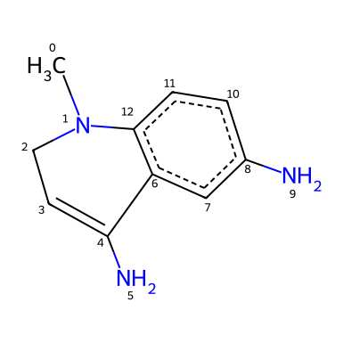 CN1CC=C(N)c2cc(N)ccc21